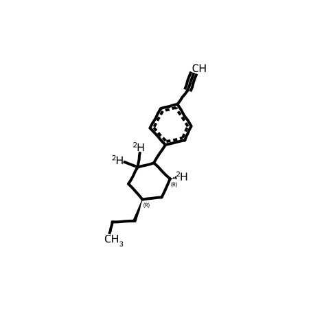 [2H][C@@H]1C[C@@H](CCC)CC([2H])([2H])C1c1ccc(C#C)cc1